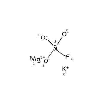 [K+].[Mg+2].[O-][Si]([O-])([O-])F